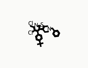 CC(C)(C)c1ccc(-c2c(Cl)c(CCl)nc3sc4c(c23)CCN(Cc2ccccc2)C4)cc1